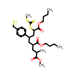 CCCCOC(=O)C(CC(C)C(=O)OC)CC(CC(SC(=S)SC)C(=O)OCCCC)c1ccc(CS)cc1